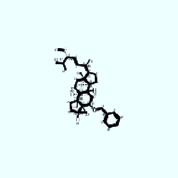 CC[C@H](C=C[C@@H](C)[C@H]1CC[C@H]2[C@@H]3C[C@@H](OCc4ccccc4)[C@]45C[C@@H]4CC[C@]5(C)[C@H]3CC[C@]12C)C(C)C